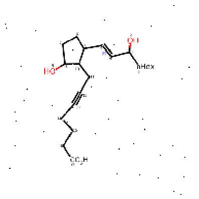 CCCCCCC(O)/C=C/C1CCC(O)C1CC#CCCCC(=O)O